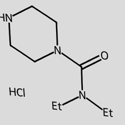 CCN(CC)C(=O)N1CCNCC1.Cl